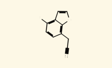 N#CCc1ccc(F)c2ccoc12